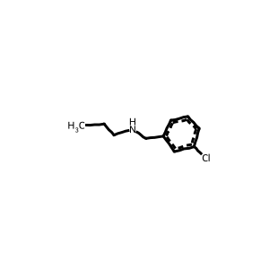 CCCNCc1cccc(Cl)c1